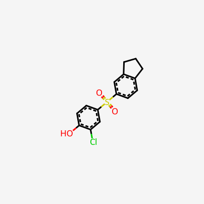 O=S(=O)(c1ccc(O)c(Cl)c1)c1ccc2c(c1)CCC2